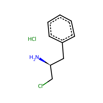 Cl.N[C@H](CCl)Cc1ccccc1